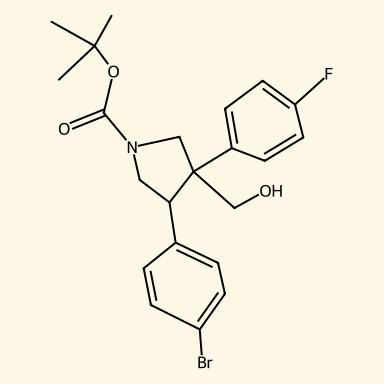 CC(C)(C)OC(=O)N1CC(c2ccc(Br)cc2)C(CO)(c2ccc(F)cc2)C1